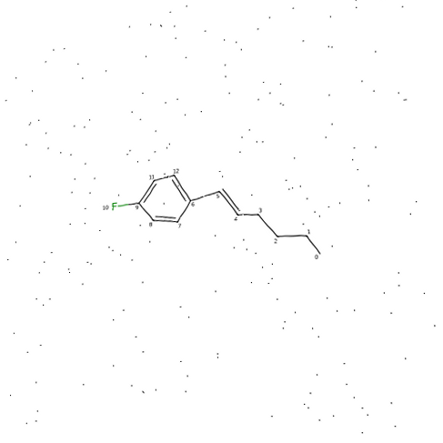 CCCCC=Cc1ccc(F)cc1